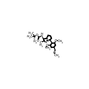 COCc1cc(OC)c(-c2cccc3c(NC(=O)OC(C)(C)C)c(C)nn23)c(OC)c1